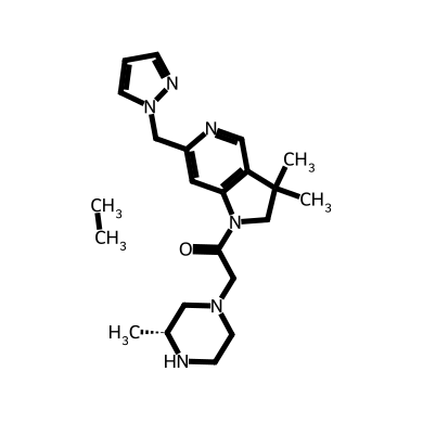 CC.C[C@@H]1CN(CC(=O)N2CC(C)(C)c3cnc(Cn4cccn4)cc32)CCN1